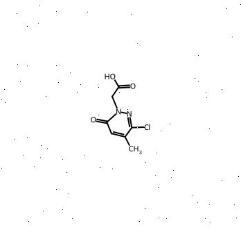 Cc1cc(=O)n(CC(=O)O)nc1Cl